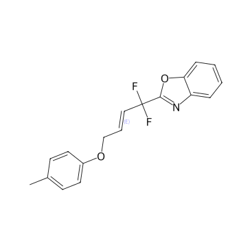 Cc1ccc(OC/C=C/C(F)(F)c2nc3ccccc3o2)cc1